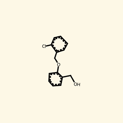 OCc1ccccc1OCc1ccccc1Cl